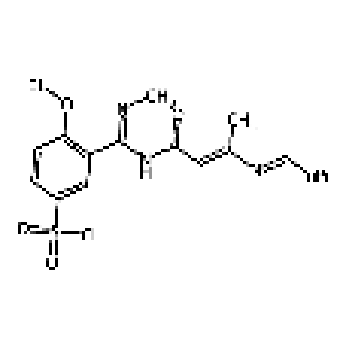 CCC/C=N/C(C)=C/C(=O)N/C(=N\C)c1cc(S(=O)(=O)Cl)ccc1OCC